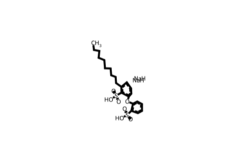 CCCCCCCCCCc1cccc(Oc2ccccc2S(=O)(=O)O)c1S(=O)(=O)O.[NaH].[NaH]